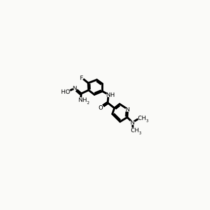 CN(C)c1ccc(C(=O)Nc2ccc(F)c(C(N)=NO)c2)cn1